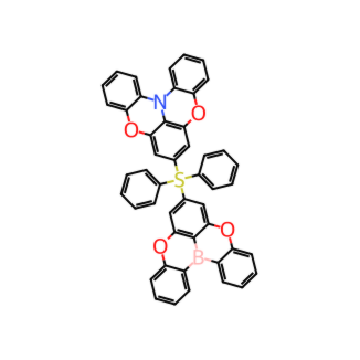 c1ccc(S(c2ccccc2)(c2cc3c4c(c2)Oc2ccccc2B4c2ccccc2O3)c2cc3c4c(c2)Oc2ccccc2N4c2ccccc2O3)cc1